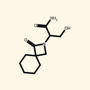 NC(=O)C(CO)N1CC2(CCCCC2)C1=O